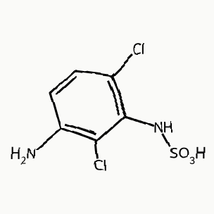 Nc1ccc(Cl)c(NS(=O)(=O)O)c1Cl